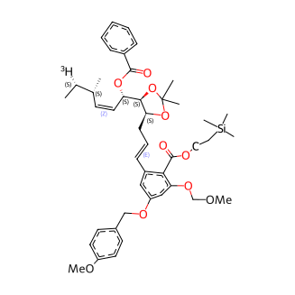 [3H][C@@H](C)[C@H](C)/C=C\[C@H](OC(=O)c1ccccc1)[C@H]1OC(C)(C)O[C@H]1C/C=C/c1cc(OCc2ccc(OC)cc2)cc(OCOC)c1C(=O)OCC[Si](C)(C)C